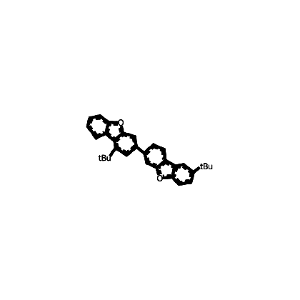 CC(C)(C)c1ccc2oc3cc(-c4cc(C(C)(C)C)c5c(c4)oc4ccccc45)ccc3c2c1